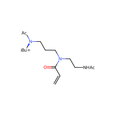 C=CC(=O)N(CCCN(C(C)=O)[C@H](C)CC)CCNC(C)=O